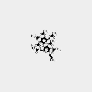 C=CCO[C@H]1O[C@H](COC(C)=O)[C@@H](O[C@@H]2O[C@H](COC(C)=O)[C@H](OC(C)=O)[C@H](OC(C)=O)[C@H]2OC(C)=O)[C@H](OC(C)=O)[C@H]1OC(C)=O